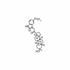 C[C@@]1(O)CC[C@H]2[C@H](CC[C@@H]3[C@@H]2CC[C@]2(C)[C@@H](C(=O)CN4NNc5ccc(OC(F)(F)F)cc54)CC[C@@H]32)C1